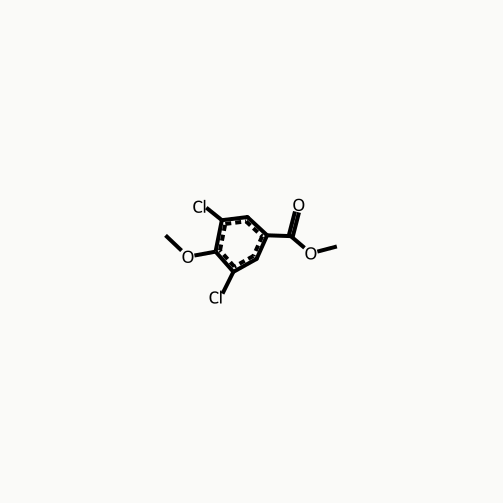 COC(=O)c1cc(Cl)c(OC)c(Cl)c1